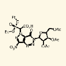 CCOP(=O)(OCC)C(C(=O)O)n1nc([N+](=O)[O-])c2nnn(C3OC(COC(C)=O)C(OC(C)=O)C3OC(C)=O)c(=O)c21